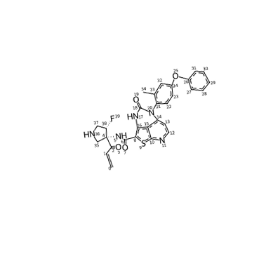 C=CC(=O)[C@@]1(NC(=O)c2sc3nccc4c3c2NC(=O)N4c2ccc(Oc3ccccc3)cc2C)CNC[C@@H]1F